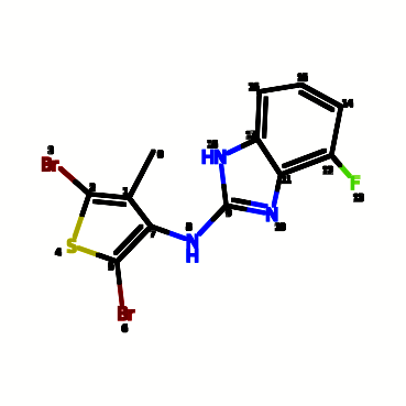 Cc1c(Br)sc(Br)c1Nc1nc2c(F)cccc2[nH]1